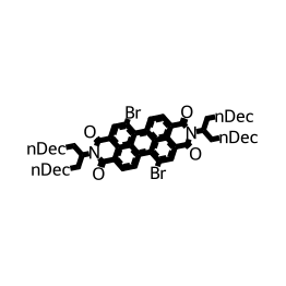 CCCCCCCCCCCC(CCCCCCCCCCC)N1C(=O)c2ccc3c4c(Br)cc5c6c(ccc(c7c(Br)cc(c2c37)C1=O)c64)C(=O)N(C(CCCCCCCCCCC)CCCCCCCCCCC)C5=O